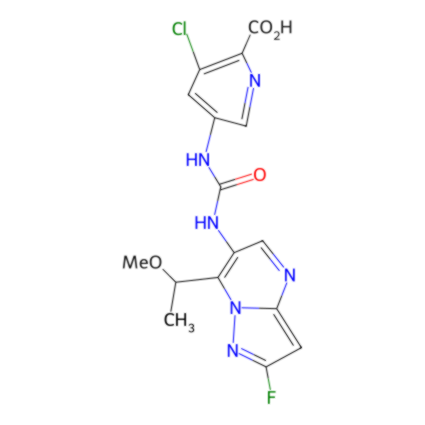 COC(C)c1c(NC(=O)Nc2cnc(C(=O)O)c(Cl)c2)cnc2cc(F)nn12